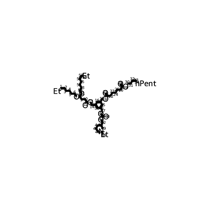 CC/C=C\CCCCOC(CCC(=O)OCc1cc(COC(=O)CCCCCC(=O)OCC/C=C\CCCCC)cc(COC(=O)OCC2CCCN(CC)C2)c1)OCCCC/C=C\CC